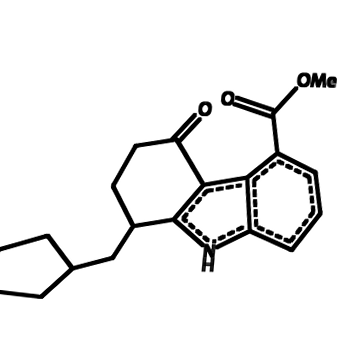 COC(=O)c1cccc2[nH]c3c(c12)C(=O)CCC3CC1CCCC1